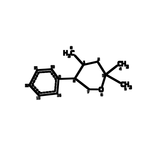 CC1CC(C)(C)OCC1c1ccccc1